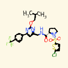 CC(C)COc1nc(CNC(=O)[C@@H]2CCCN2S(=O)(=O)c2ccc(Cl)s2)cc(-c2ccc(C(F)(F)F)cc2)n1